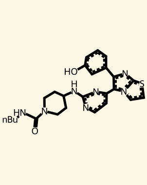 CCCCNC(=O)N1CCC(Nc2nccc(-c3c(-c4cccc(O)c4)nc4sccn34)n2)CC1